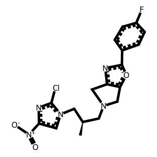 C[C@H](CN1Cc2nc(-c3ccc(F)cc3)oc2C1)Cn1cc([N+](=O)[O-])nc1Cl